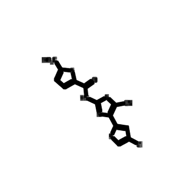 N#Cc1sc(NC(=O)c2ccc(C(=O)O)s2)nc1-c1cc(Cl)cs1